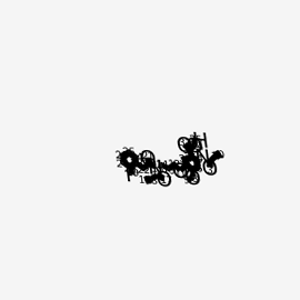 C#CC(=O)Nc1cc(OC)c(OCCCN(C(=O)C#C)C(=O)Cc2ccccc2F)cc1C(=O)OC